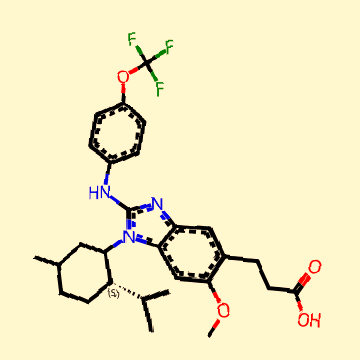 COc1cc2c(cc1CCC(=O)O)nc(Nc1ccc(OC(F)(F)F)cc1)n2C1CC(C)CC[C@H]1C(C)C